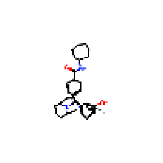 C=CCN1CCC2CCCC(C1)N2C(C1=CCC(C(=O)NC2CCCCCC2)C=C1)c1cccc(O)c1